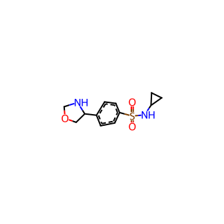 O=S(=O)(NC1CC1)c1ccc(C2COCN2)cc1